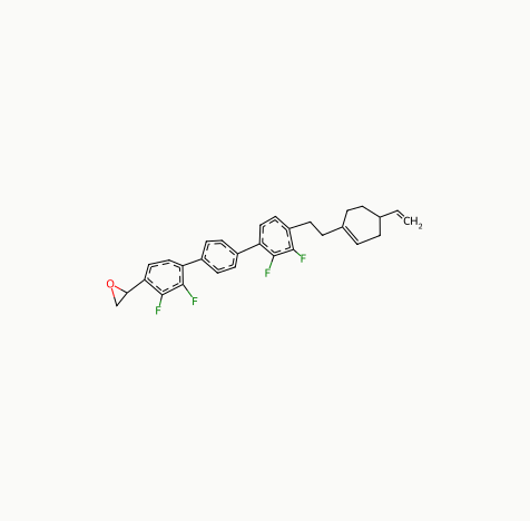 C=CC1CC=C(CCc2ccc(-c3ccc(-c4ccc(C5CO5)c(F)c4F)cc3)c(F)c2F)CC1